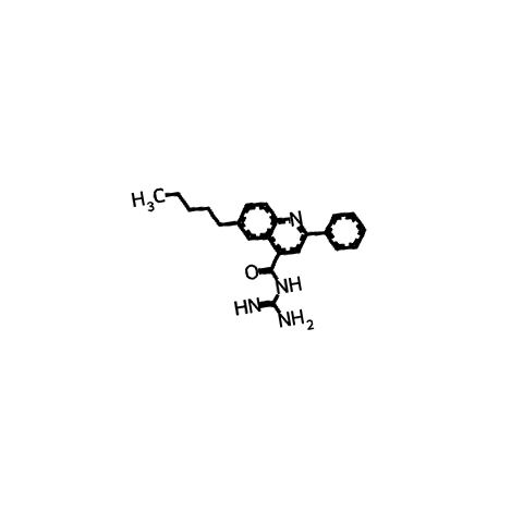 CCCCCc1ccc2nc(-c3ccccc3)cc(C(=O)NC(=N)N)c2c1